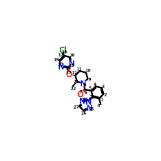 Cc1cccc(C(=O)N2CCC[C@@H](Oc3ncc(Cl)cn3)[C@@H]2C)c1-n1nccn1